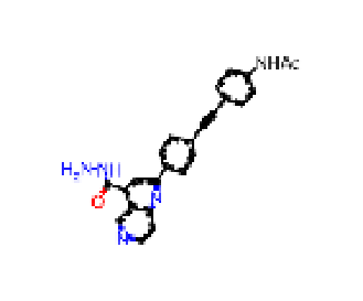 CC(=O)Nc1ccc(C#Cc2ccc(-c3cc(C(=O)NN)c4cnccc4n3)cc2)cc1